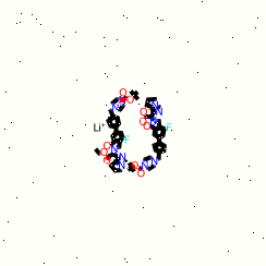 CC(C)(C)OC(=O)N1CCN(Cc2ccc(-c3cc(F)c4c(c3)C(=O)N(C(C(=O)[O-])c3ncn5c3CCC5)C4)cc2)CC1.CCOC(=O)C(c1ncn2c1CCC2)N1Cc2c(F)cc(-c3ccc(CN4CCN(C(=O)OC(C)(C)C)CC4)cc3)cc2C1=O.[Li+]